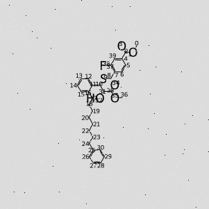 COC(=O)c1ccc(CSC(c2ccccc2CCCCCCCCc2ccccc2)C(O)C(=O)OC)c(F)c1